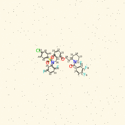 O=C(c1ccc(F)c(F)c1F)N1CCCCC1CCOc1ccccc1CN(c1cc(F)ccc1F)S(=O)(=O)c1ccc(Cl)cc1